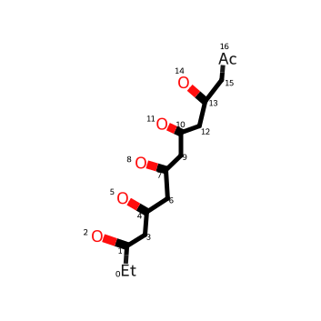 CCC(=O)CC(=O)CC(=O)CC(=O)CC(=O)CC(C)=O